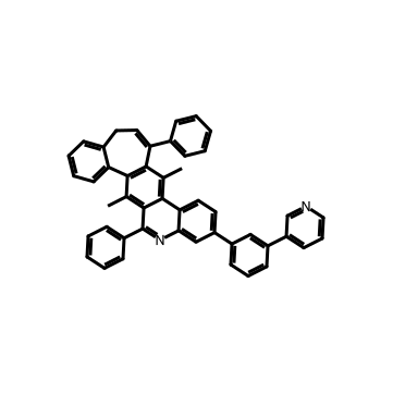 Cc1c2c(c(C)c3c1c(-c1ccccc1)nc1cc(-c4cccc(-c5cccnc5)c4)ccc13)C(c1ccccc1)=CCc1ccccc1-2